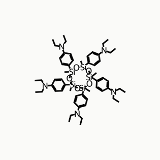 CCN(CC)c1ccc([Si]2(C)O[Si](C)(c3ccc(N(CC)CC)cc3)O[Si](C)(c3ccc(N(CC)CC)cc3)O[Si](C)(c3ccc(N(CC)CC)cc3)O[Si](C)(c3ccc(N(CC)CC)cc3)O2)cc1